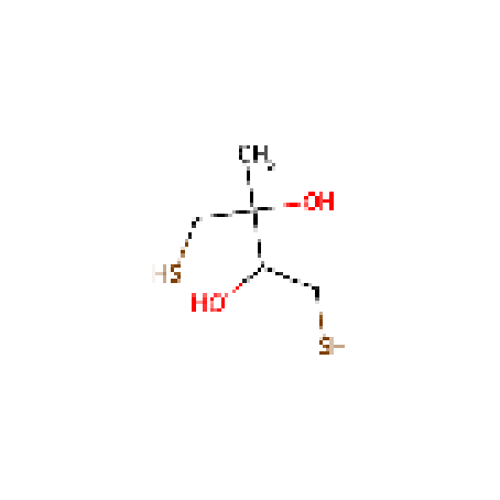 CC(O)(CS)C(O)CS